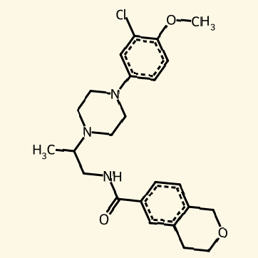 COc1ccc(N2CCN(C(C)CNC(=O)c3ccc4c(c3)CCOC4)CC2)cc1Cl